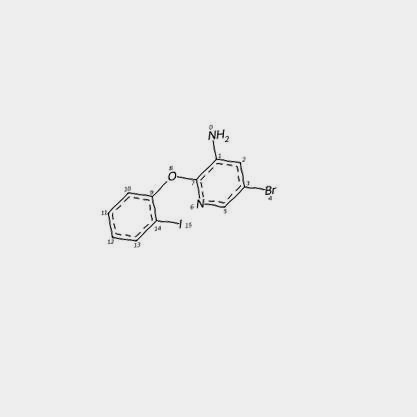 Nc1cc(Br)cnc1Oc1ccccc1I